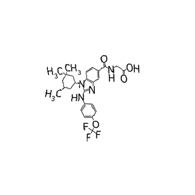 C[C@@H]1C[C@H](n2c(Nc3ccc(OC(F)(F)F)cc3)nc3cc(C(=O)NCC(=O)O)ccc32)CC(C)(C)C1